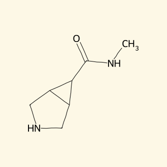 CNC(=O)C1C2CNCC21